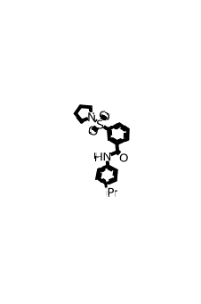 CC(C)c1ccc(NC(=O)c2cccc(S(=O)(=O)N3CCCC3)c2)cc1